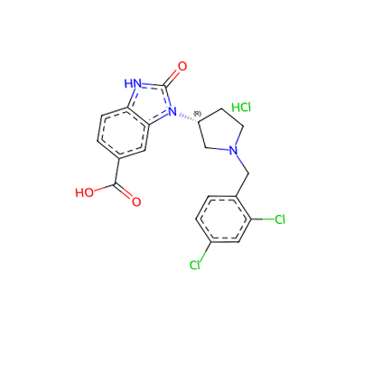 Cl.O=C(O)c1ccc2[nH]c(=O)n([C@@H]3CCN(Cc4ccc(Cl)cc4Cl)C3)c2c1